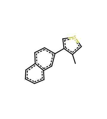 Cc1cscc1-c1ccc2ccccc2c1